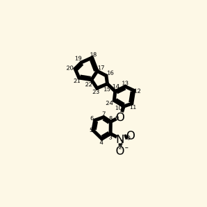 O=[N+]([O-])c1ccccc1Oc1cccc(C2Cc3ccccc3C2)c1